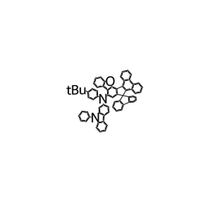 CC(C)(C)c1ccc(N(c2ccc3c4ccccc4n(-c4ccccc4)c3c2)c2cc3c(c4oc5ccccc5c24)-c2c(c4ccccc4c4ccccc24)C32c3ccccc3-c3ccccc32)cc1